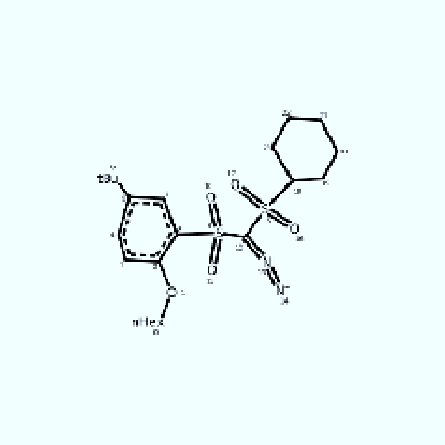 CCCCCCOc1ccc(C(C)(C)C)cc1S(=O)(=O)C(=[N+]=[N-])S(=O)(=O)C1CCCCC1